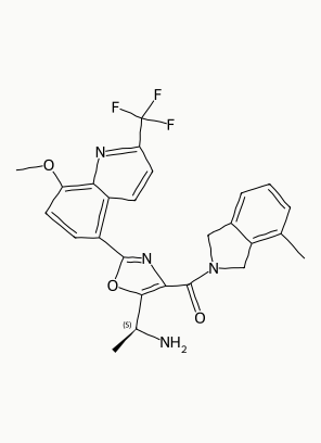 COc1ccc(-c2nc(C(=O)N3Cc4cccc(C)c4C3)c([C@H](C)N)o2)c2ccc(C(F)(F)F)nc12